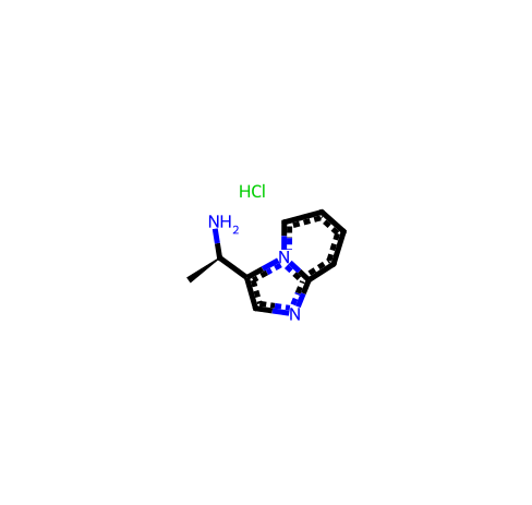 C[C@@H](N)c1cnc2ccccn12.Cl